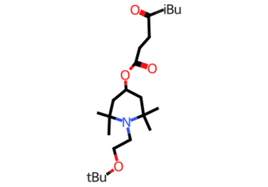 CCC(C)C(=O)CCC(=O)OC1CC(C)(C)N(CCOC(C)(C)C)C(C)(C)C1